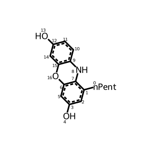 CCCCCc1cc(O)cc2c1Nc1ccc(O)cc1O2